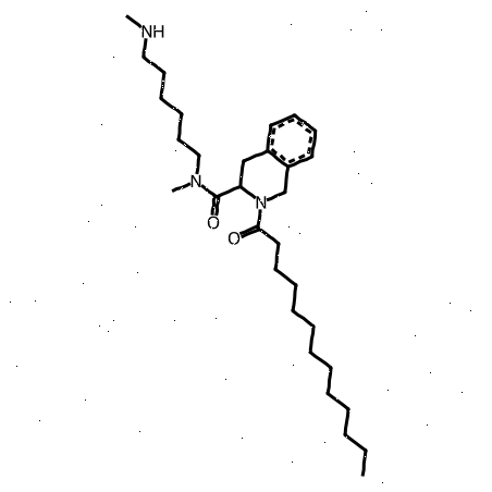 CCCCCCCCCCCCC(=O)N1Cc2ccccc2CC1C(=O)N(C)CCCCCCNC